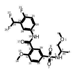 COC[C@@H](C)NS(=O)(=O)c1ccc(OC)c(C(=O)Nc2ccc(F)c(C(F)F)c2)c1